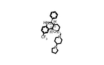 FC(F)(F)c1ccc2c(c1)[C@H]1O[C@@H](CN3CCC(N4CCCC4)CC3)CC[C@H]1[C@H](c1ccccc1)N2